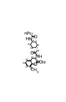 CCCC(=O)N[C@H]1CC[C@H](CC(=O)N[C@H]2Cc3cccc(C)c3OB2O)CC1